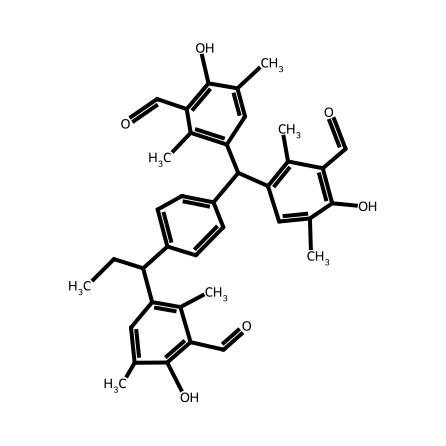 CCC(c1ccc(C(c2cc(C)c(O)c(C=O)c2C)c2cc(C)c(O)c(C=O)c2C)cc1)c1cc(C)c(O)c(C=O)c1C